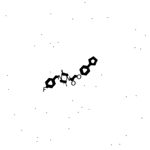 C[C@@H]1CN(Cc2ccc(F)cc2)[C@@H](C)CN1C(=O)COc1ccc(C2CCCC2)cc1